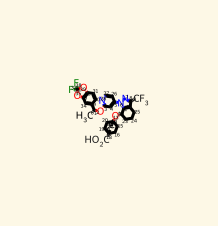 CC(Oc1cc(-n2nc(C(F)(F)F)c3c2[C@@H](OC24CCC(C(=O)O)(CC2)CC4)CCC3)ccn1)c1ccc2c(c1)OC(F)(F)O2